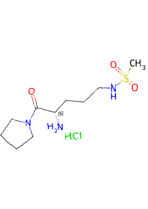 CS(=O)(=O)NCCC[C@H](N)C(=O)N1CCCC1.Cl